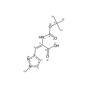 Cn1ccc(/C=C(/NC(=O)OC(C)(C)C)C(=O)O)n1